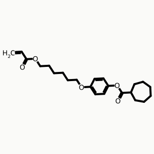 C=CC(=O)OCCCCCCOc1ccc(OC(=O)C2CCCCCC2)cc1